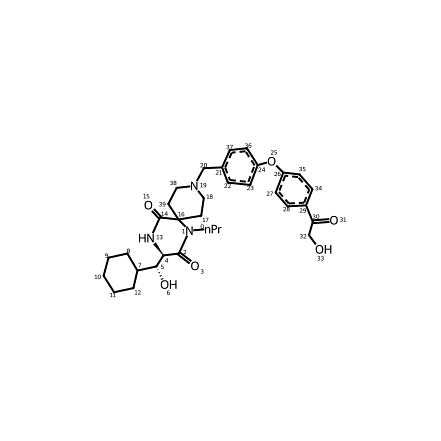 CCCN1C(=O)[C@@H]([C@H](O)C2CCCCC2)NC(=O)C12CCN(Cc1ccc(Oc3ccc(C(=O)CO)cc3)cc1)CC2